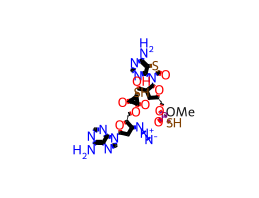 COP(=O)(S)OC[C@H]1O[C@@H](n2c(=O)sc3c(N)ncnc32)C(CO)[C@@H]1OC1(OC[C@H]2O[C@@H](n3cnc4c(N)ncnc43)CC2N=[N+]=[N-])C(=O)C1S